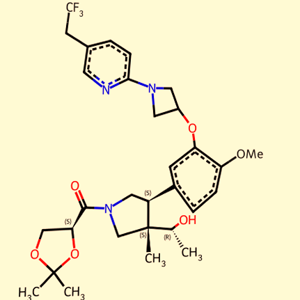 COc1ccc([C@@H]2CN(C(=O)[C@@H]3COC(C)(C)O3)C[C@@]2(C)[C@@H](C)O)cc1OC1CN(c2ccc(CC(F)(F)F)cn2)C1